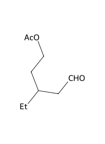 CCC(CC=O)CCOC(C)=O